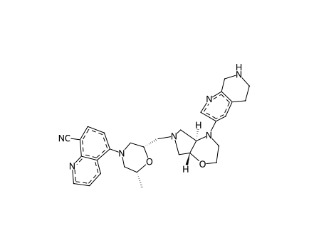 C[C@@H]1CN(c2ccc(C#N)c3ncccc23)C[C@H](CN2C[C@@H]3[C@@H](C2)OCCN3c2cnc3c(c2)CCNC3)O1